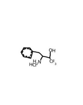 Cl.NC(Cc1ccccc1)C(O)C(F)(F)F